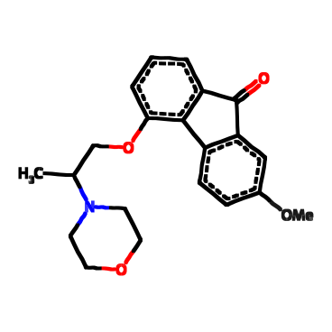 COc1ccc2c(c1)C(=O)c1cccc(OCC(C)N3CCOCC3)c1-2